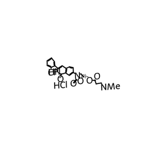 CNCCC(=O)OC[C@H]1CN(c2ccc3cc(-c4ccccc4C(F)(F)F)[nH]c(=O)c3c2)C(=O)O1.Cl